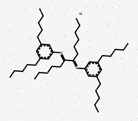 CCCCCCC(=N\c1cc(CCCCC)cc(CCCCC)c1)/C(CCCCC)=N/c1cc(CCCCC)cc(CCCCC)c1.[Ni]